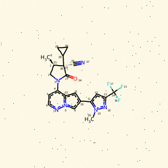 C[C@@H]1CN(c2ccnn3cc(-c4cc(C(F)(F)F)nn4C)cc23)C(=O)[C@]1(C#N)C1CC1